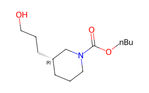 CCCCOC(=O)N1CCC[C@H](CCCO)C1